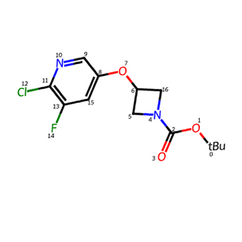 CC(C)(C)OC(=O)N1CC(Oc2cnc(Cl)c(F)c2)C1